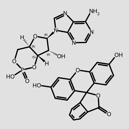 Nc1ncnc2c1ncn2[C@@H]1O[C@@H]2COP(=O)(O)O[C@H]2[C@H]1O.O=C1OC2(c3ccc(O)cc3Oc3cc(O)ccc32)c2ccccc21